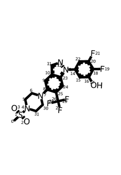 CS(=O)(=O)N1CCN(c2cc3cnn(-c4cc(O)c(F)c(F)c4)c3cc2C(F)(F)F)CC1